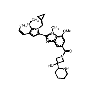 C=Nc1c(/C=C\C)cc(-c2nc3cc(C(=O)N4CC(O)([C@@H]5CCCCN5)C4)cc(OC)c3n2C)n1CC1CC1